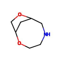 C1COC2COC(CN1)C2